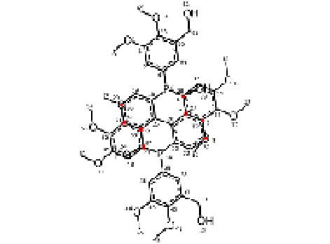 COc1cc(P(c2cc(OC)c(OC)c(OC)c2)c2cccc(CO)c2-c2c(CO)cccc2P(c2cc(CO)c(OC)c(OC)c2)c2cc(OC)c(OC)c(OC)c2)cc(CO)c1OC